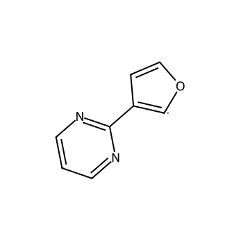 [c]1occc1-c1ncccn1